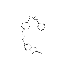 O=C1Cc2cc(OCCN3CCC(N[C@@H]4C[C@H]4c4ccccc4)CC3)ccc2N1